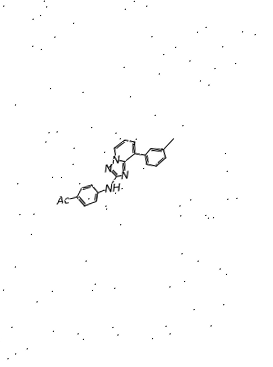 CC(=O)c1ccc(Nc2nc3c(-c4cccc(C)c4)cccn3n2)cc1